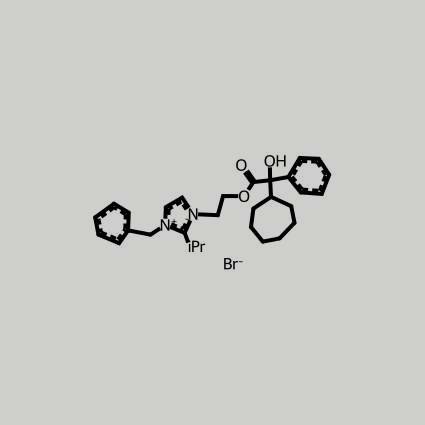 CC(C)c1n(CCOC(=O)C(O)(c2ccccc2)C2CCCCCC2)cc[n+]1Cc1ccccc1.[Br-]